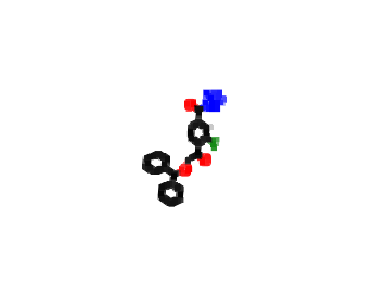 NNC(=O)c1[c]c(F)c(C(=O)COC(c2ccccc2)c2ccccc2)cc1